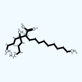 CCCCCCCCCCC(C([O])=O)C(C)(CCCC)CCCC